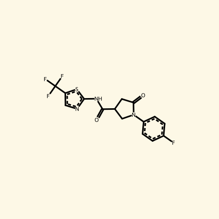 O=C(Nc1ncc(C(F)(F)F)s1)C1CC(=O)N(c2ccc(F)cc2)C1